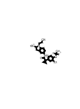 CCc1cc(C2(C(=O)Nc3ccc4c(c3)CC(C(C)(C)C)N4CCC#N)CC2)ccc1OC(C)(F)F